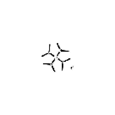 C[N](C)[Hf]([N](C)C)([N](C)C)[N](C)C.[Hf]